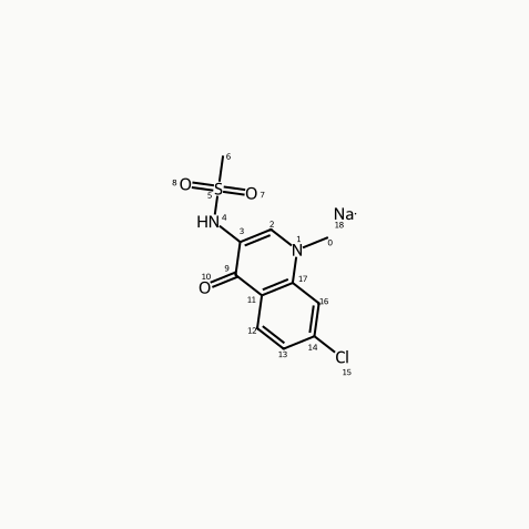 Cn1cc(NS(C)(=O)=O)c(=O)c2ccc(Cl)cc21.[Na]